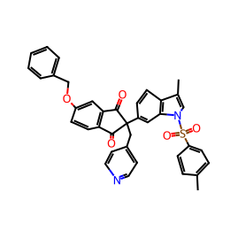 Cc1ccc(S(=O)(=O)n2cc(C)c3ccc(C4(Cc5ccncc5)C(=O)c5ccc(OCc6ccccc6)cc5C4=O)cc32)cc1